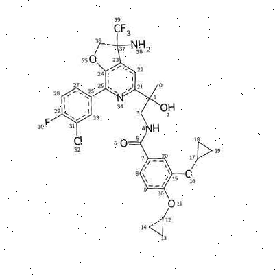 CC(O)(CNC(=O)c1ccc(OC2CC2)c(OC2CC2)c1)c1cc2c(c(-c3ccc(F)c(Cl)c3)n1)OCC2(N)C(F)(F)F